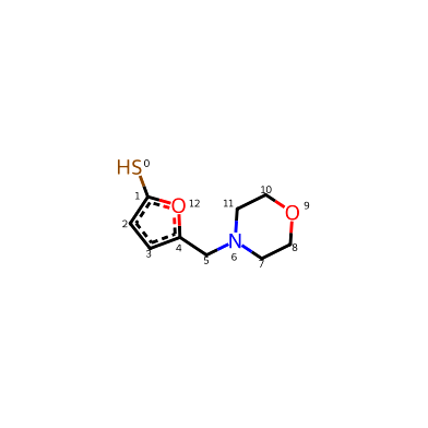 Sc1ccc(CN2CCOCC2)o1